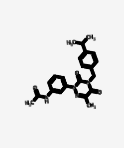 CC(=O)Nc1cccc(-n2nc(C)c(=O)n(Cc3ccc(C(C)C)cc3)c2=O)c1